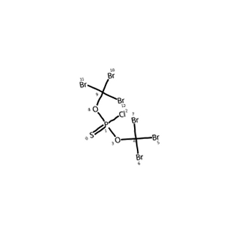 S=P(Cl)(OC(Br)(Br)Br)OC(Br)(Br)Br